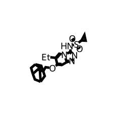 CCc1cn2c(NS(=O)(=O)C3CC3)nnc2cc1OCC12CC3CC(CC(C3)C1)C2